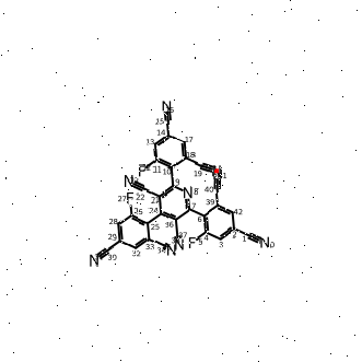 N#Cc1cc(F)c(-c2nc(-c3c(F)cc(C#N)cc3C#N)c(C#N)c(-c3c(F)cc(C#N)cc3C#N)c2C#N)c(C#N)c1